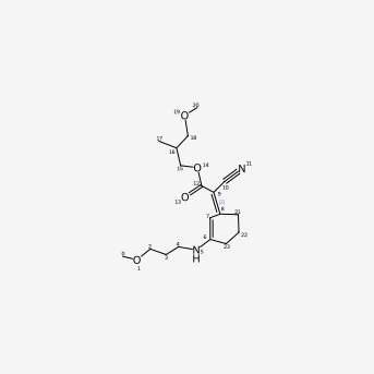 COCCCNC1=C/C(=C(/C#N)C(=O)OCC(C)COC)CCC1